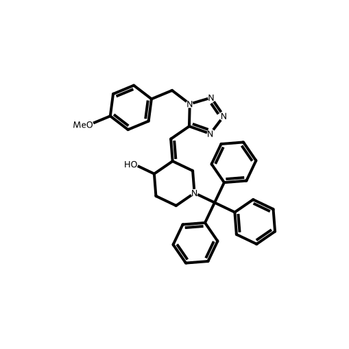 COc1ccc(Cn2nnnc2/C=C2\CN(C(c3ccccc3)(c3ccccc3)c3ccccc3)CCC2O)cc1